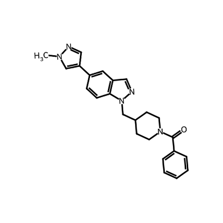 Cn1cc(-c2ccc3c(cnn3CC3CCN(C(=O)c4ccccc4)CC3)c2)cn1